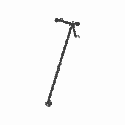 CCCCCCCCCCCC(CC=CCCCCCCCC(=O)OCc1ccccc1)(C(=O)NCCOCCOCCOCCOCCOCCOCCOCCOCCOCCOCCOCCOCCOCCOCCOCCOCCOCCOCCOCCOCCOCCOCCOCCOC[C@H](C(=O)O)N1C(=O)CCC1=O)C(=O)OCc1ccccc1